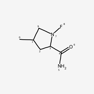 CC1CC(C(N)=O)N(F)C1